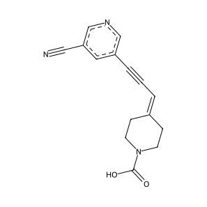 N#Cc1cncc(C#CC=C2CCN(C(=O)O)CC2)c1